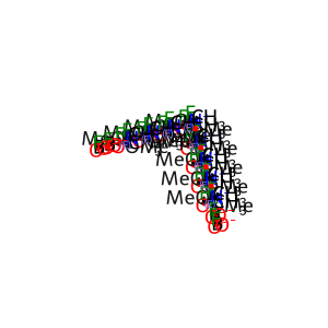 CO/C=C(/C(=O)OC)C(C(F)F)=[N+](C)C.CO/C=C(/C(=O)OC)C(C(F)F)=[N+](C)C.CO/C=C(/C(=O)OC)C(C(F)F)=[N+](C)C.CO/C=C(/C(=O)OC)C(C(F)F)=[N+](C)C.CO/C=C(/C(=O)OC)C(C(F)F)=[N+](C)C.CO/C=C(/C(=O)OC)C(C(F)F)=[N+](C)C.CO/C=C(/C(=O)OC)C(C(F)F)=[N+](C)C.CO/C=C(/C(=O)OC)C(C(F)F)=[N+](C)C.[O-]B([O-])F.[O-]B([O-])F.[O-]B([O-])F.[O-]B([O-])F